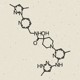 Cc1cc(Nc2cc(C)[nH]n2)nc(N2CCC(O)(C(=O)NCc3ccc(-n4nc(C)cc4C)nc3)CC2)c1